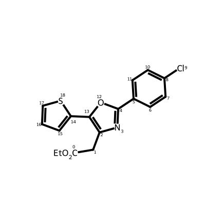 CCOC(=O)Cc1nc(-c2ccc(Cl)cc2)oc1-c1cccs1